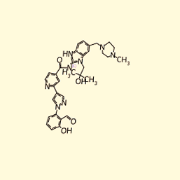 CN1CCN(Cc2ccc3[nH]/c(=N\C(=O)c4ccnc(-c5cnn(-c6cccc(O)c6C=O)c5)c4)n(CC(C)(C)O)c3c2)CC1